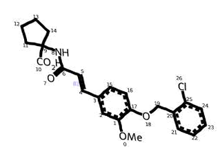 COc1cc(/C=C/C(=O)NC2(C(=O)O)CCCC2)ccc1OCc1ccccc1Cl